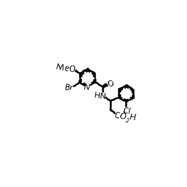 COc1ccc(C(=O)NC(CC(=O)O)c2ccccc2Cl)nc1Br